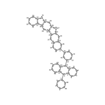 c1ccc(-c2c3ccccc3c(-c3cccc(-c4ccc5cc6c(cc5c4)oc4cc5sc7ccccc7c5cc46)c3)c3ccccc23)cc1